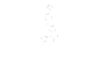 O=c1ccc2cnc(Nc3ccc(-n4cccc4)cc3)nc2n1-c1ccccc1